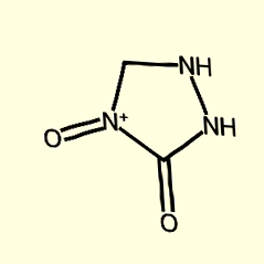 O=C1NNC[N+]1=O